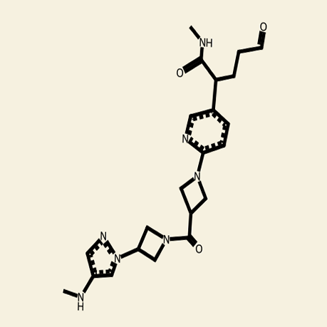 CNC(=O)C(CCC=O)c1ccc(N2CC(C(=O)N3CC(n4cc(NC)cn4)C3)C2)nc1